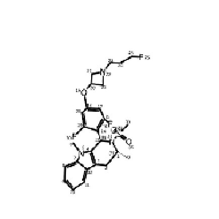 C[C@@H]1Cc2c(n(C)c3ccccc23)[C@@H](c2c(F)cc(OC3CN(CCCF)C3)cc2F)N1S(C)(=O)=O